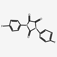 O=C1C(=O)N(c2ccc(F)cc2)C(=O)N1c1ccc(F)cc1